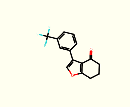 O=C1CCCc2occ(-c3cccc(C(F)(F)F)c3)c21